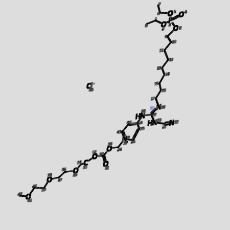 CCOP(=O)(OCC)OCCCCCCCCC/N=C(/NC#N)Nc1cc[n+](COC(=O)OCCOCCOCCOC)cc1.[Cl-]